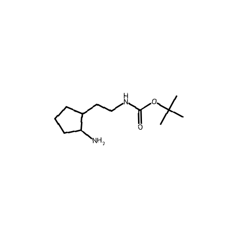 CC(C)(C)OC(=O)NCCC1CCCC1N